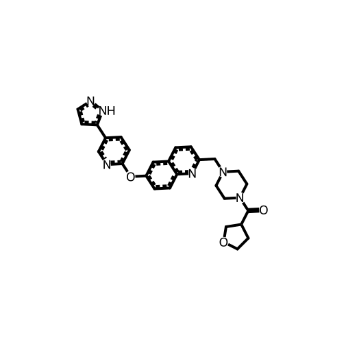 O=C(C1CCOC1)N1CCN(Cc2ccc3cc(Oc4ccc(-c5ccn[nH]5)cn4)ccc3n2)CC1